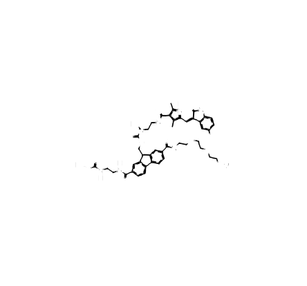 CCN(CCNC(=O)c1c(C)[nH]c(/C=C2\C(=O)Nc3ccc(F)cc32)c1C)C(=O)OCC1c2cc(C(=O)NCCNC(=O)OC(C)(C)C)ccc2-c2ccc(C(=O)NCCOCCOCCOC)cc21